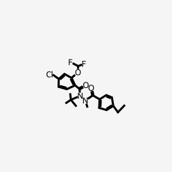 CCc1ccc(C(=O)N(C)N(C(=O)c2ccc(Cl)cc2OC(F)F)C(C)(C)C)cc1